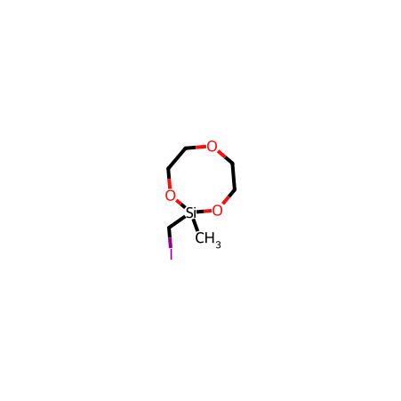 C[Si]1(CI)OCCOCCO1